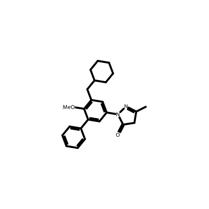 COc1c(CC2CCCCC2)cc(N2N=C(C)CC2=O)cc1-c1ccccc1